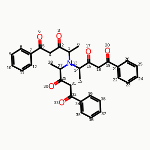 CC(C(=O)CC(=O)c1ccccc1)N(C(C)C(=O)CC(=O)c1ccccc1)C(C)C(=O)CC(=O)c1ccccc1